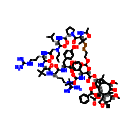 CCCN(CC(=O)N[C@@H](CCCNC(=N)N)C(=O)N[C@H](C(=O)N[C@@H](CCCNC(=N)N)C(=O)N[C@@H](Cc1ccc(O)cc1)C(=O)O)C(C)(C)C)C(=O)[C@H](CC(C)C)NC(=O)[C@@H]1CCCN1C(=O)[C@@H](NC(C)=O)C(C)(C)SSCCOC(=O)O[C@@H](C(=O)O[C@H]1C[C@@]2(O)[C@@H](OC(=O)c3ccccc3)[C@@H]3[C@]4(OC(C)=O)CO[C@@H]4C[C@H](OC)[C@@]3(C)C(=O)[C@H](OC)C(=C1C)C2(C)C)[C@@H](NC(=O)OC(C)(C)C)c1ccccc1